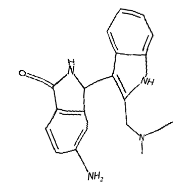 CN(C)Cc1[nH]c2ccccc2c1C1NC(=O)c2ccc(N)cc21